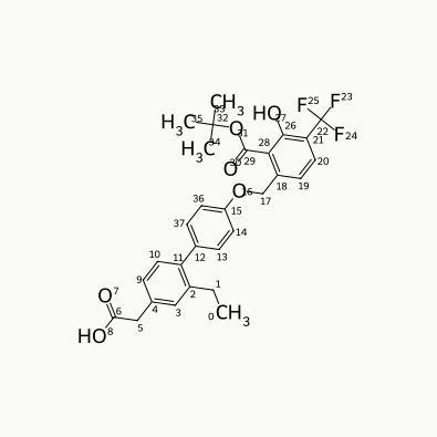 CCc1cc(CC(=O)O)ccc1-c1ccc(OCc2ccc(C(F)(F)F)c(O)c2C(=O)OC(C)(C)C)cc1